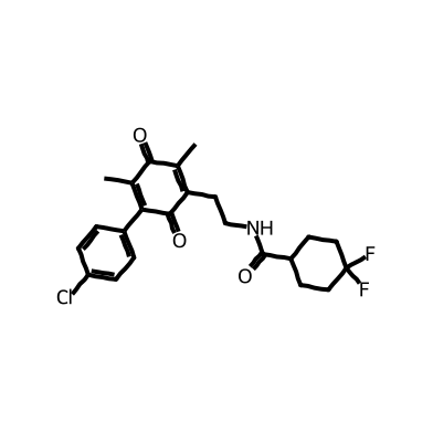 CC1=C(CCNC(=O)C2CCC(F)(F)CC2)C(=O)C(c2ccc(Cl)cc2)=C(C)C1=O